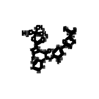 CC(C)(C)OC(=O)N1CC(F)C1C(=O)N(Cc1ccc(-c2nnc(C(F)F)o2)cc1F)c1ccccc1